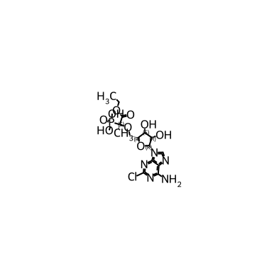 CCOC(=O)[C@@](C)(OC[C@H]1O[C@@H](n2cnc3c(N)nc(Cl)nc32)[C@H](O)[C@@H]1O)P(=O)(O)O